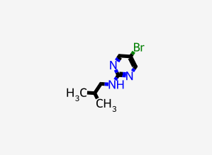 CC(C)CNc1ncc(Br)cn1